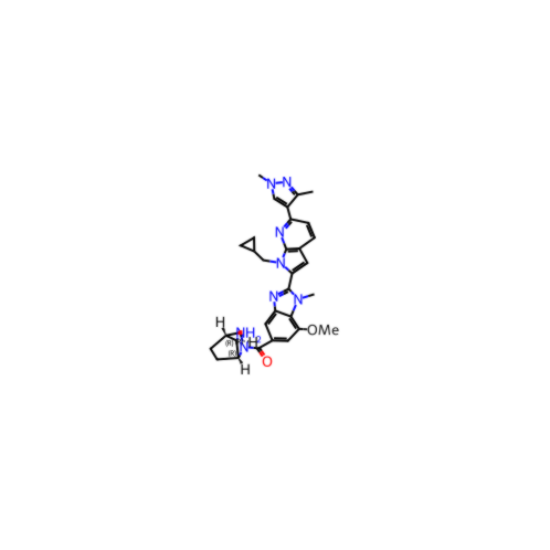 COc1cc(C(=O)N2C[C@H]3CC[C@@H]2[C@@H]3N)cc2nc(-c3cc4ccc(-c5cn(C)nc5C)nc4n3CC3CC3)n(C)c12